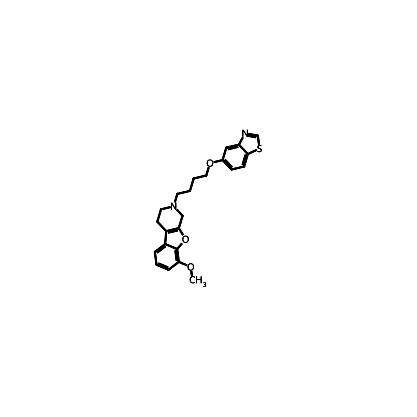 COc1cccc2c3c(oc12)CN(CCCCOc1ccc2scnc2c1)CC3